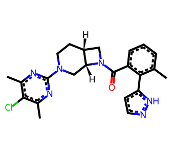 Cc1cccc(C(=O)N2C[C@H]3CCN(c4nc(C)c(Cl)c(C)n4)C[C@H]32)c1-c1ccn[nH]1